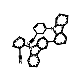 N#Cc1ccccc1-n1c2ccccc2c2cc(-c3cccc4c5ccccc5n(C5=CC=CC(C#N)C5)c34)ccc21